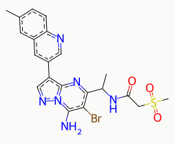 Cc1ccc2ncc(-c3cnn4c(N)c(Br)c(C(C)NC(=O)CS(C)(=O)=O)nc34)cc2c1